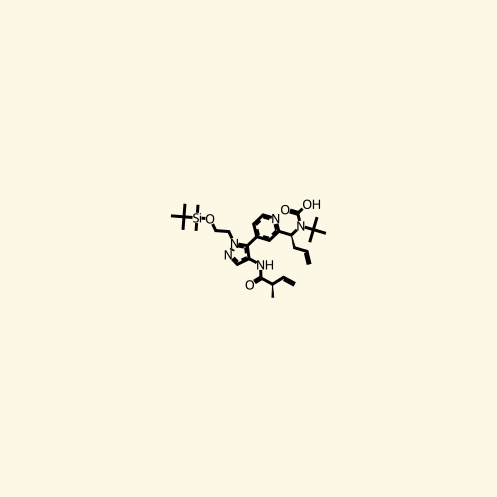 C=CC[C@@H](c1cc(-c2c(NC(=O)[C@H](C)C=C)cnn2CCO[Si](C)(C)C(C)(C)C)ccn1)N(C(=O)O)C(C)(C)C